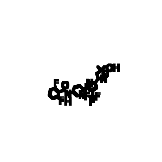 CC1(CO)CC(c2cc(C(F)(F)F)n(-c3ccc(NC(=O)c4c(F)cccc4F)cn3)n2)=NO1